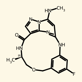 CNc1cc2nc3c(cnn13)C(=O)N[C@H](C)COCc1cc(F)cc(c1)N2